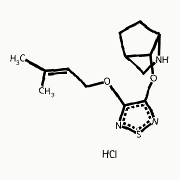 CC(C)=CCOc1nsnc1OC1C2CCC1NC2.Cl